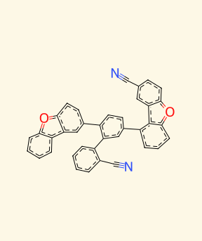 N#Cc1ccc2oc3cccc(-c4ccc(-c5ccc6oc7ccccc7c6c5)c(-c5ccccc5C#N)c4)c3c2c1